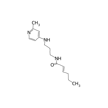 CCC/C=C/C(=O)NCCCNc1ccnc(C)c1